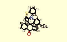 CC(C)(C)c1ccc2c(c1)C1(c3ccccc3C(=O)c3ccccc31)c1cccc3c1N2c1ccccc1S3